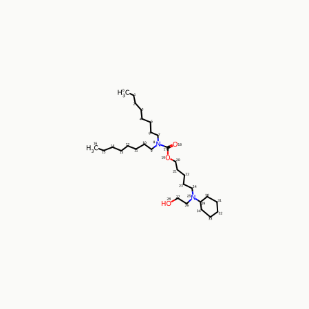 CCCCCCCCN(CCCCCCCC)C(=O)OCCCCCN(CCO)C1CCCCC1